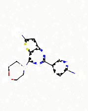 Nc1ccc(-c2nc(N3CCOCC3)c3sc(N)cc3n2)cn1